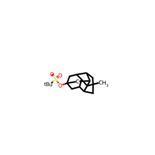 CC12CC3C4CC5(OS(=O)(=O)C(C)(C)C)CC3C(C1)C(C5)C4C2